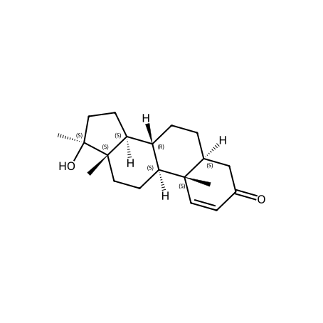 C[C@]12C=CC(=O)C[C@@H]1CC[C@@H]1[C@@H]2CC[C@@]2(C)[C@H]1CC[C@]2(C)O